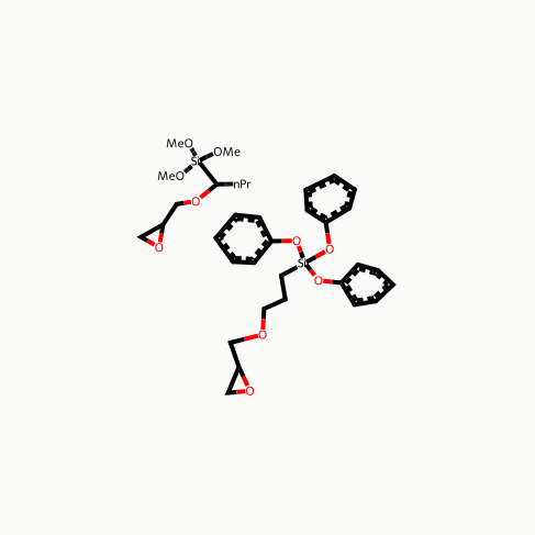 CCCC(OCC1CO1)[Si](OC)(OC)OC.c1ccc(O[Si](CCCOCC2CO2)(Oc2ccccc2)Oc2ccccc2)cc1